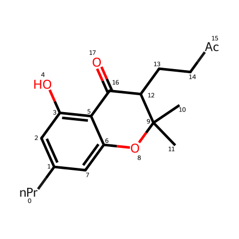 CCCc1cc(O)c2c(c1)OC(C)(C)C(CCC(C)=O)C2=O